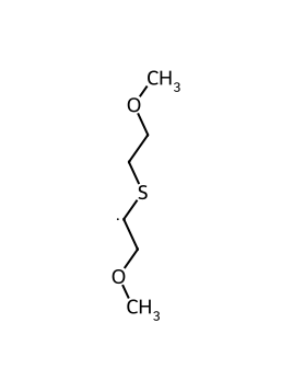 COC[CH]SCCOC